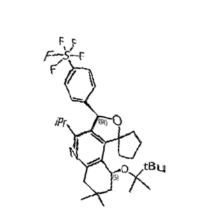 CC(C)c1nc2c(c3c1[C@@H](c1ccc(S(F)(F)(F)(F)F)cc1)OC31CCCC1)[C@@H](OC(C)(C)C(C)(C)C)CC(C)(C)C2